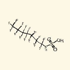 O=S(=O)(O)NC(F)(F)C(F)(F)C(F)(F)C(F)(F)C(F)(F)C(F)(F)C(F)(F)F